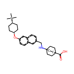 C[Si](C)(C)[C@H]1CC[C@@H](Oc2ccc3cc(CNC45CCC(C(=O)O)(CC4)CC5)ccc3c2)CC1